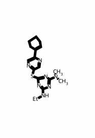 CCNc1nc(Sc2cnc(C3=CCCCC3)cn2)nc(N(C)C)n1